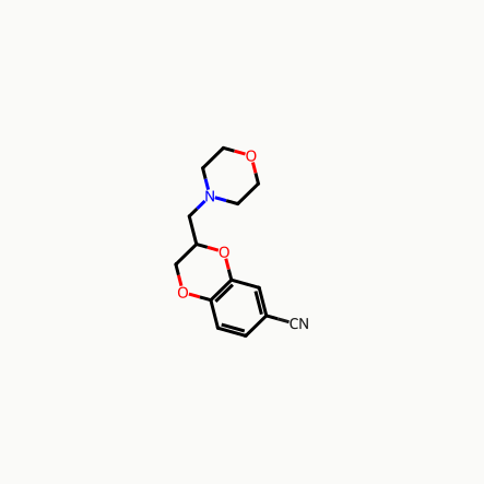 N#Cc1ccc2c(c1)OC(CN1CCOCC1)CO2